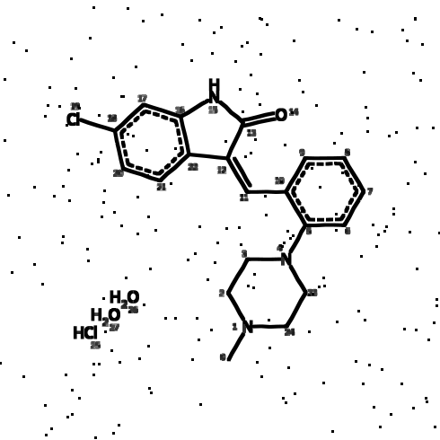 CN1CCN(c2ccccc2C=C2C(=O)Nc3cc(Cl)ccc32)CC1.Cl.O.O